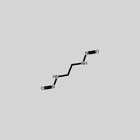 O=NNCCNN=O